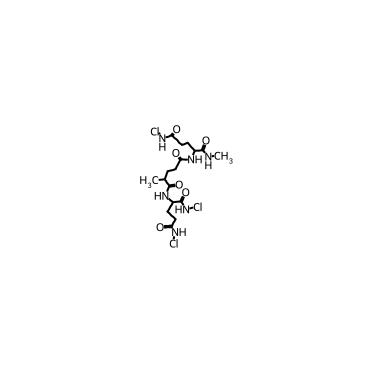 CNC(=O)C(CCC(=O)NCl)NC(=O)CCC(C)C(=O)NC(CCC(=O)NCl)C(=O)NCl